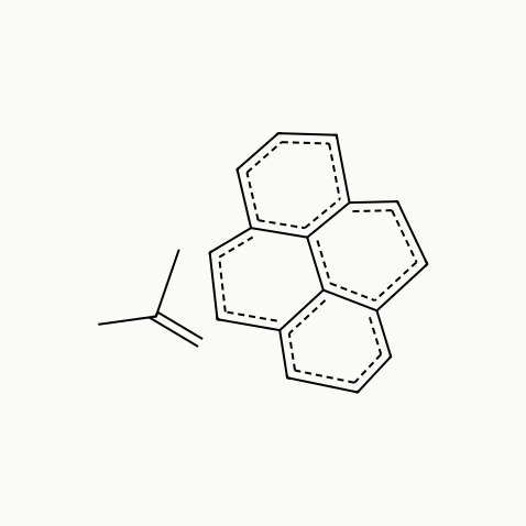 C=C(C)C.c1cc2ccc3cccc4ccc(c1)c2c34